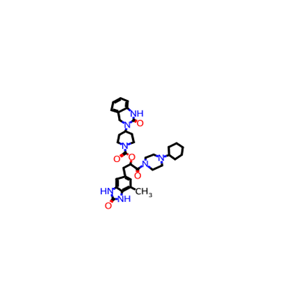 Cc1cc(CC(OC(=O)N2CCC(N3Cc4ccccc4NC3=O)CC2)C(=O)N2CCN(C3CCCCC3)CC2)cc2[nH]c(=O)[nH]c12